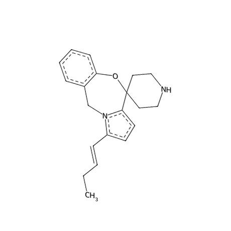 CCC=Cc1ccc2n1Cc1ccccc1OC21CCNCC1